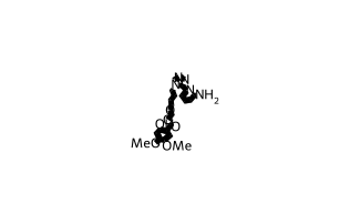 COc1cc(O)c(C(=O)OCOCCCCn2cnnc2-c2cccc(N)n2)cc1OC